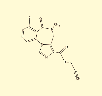 C#CCOC(=O)c1ncn2c1CN(C)C(=O)c1c(Cl)cccc1-2